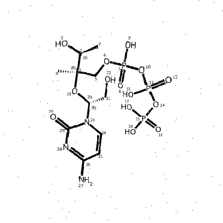 C[C@H](O)[C@@](C)(COP(=O)(O)OP(=O)(O)OP(=O)(O)O)O[C@H](CO)n1ccc(N)nc1=O